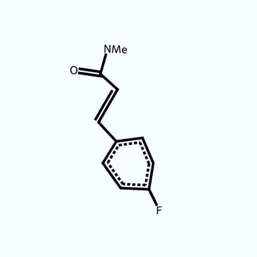 CNC(=O)/C=C/c1ccc(F)cc1